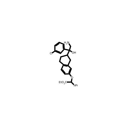 CCCC(Oc1ccc2c(c1)CC(C(O)(CN)c1cccc(Cl)c1)CC2)C(=O)OCC